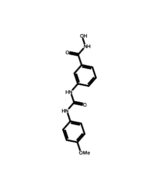 COc1ccc(NC(=O)Nc2cccc(C(=O)NO)c2)cc1